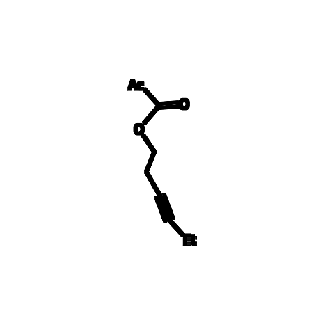 CCC#CCCOC(=O)C(C)=O